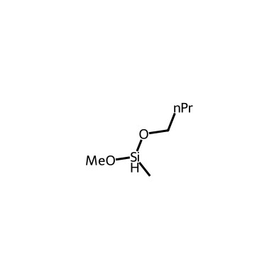 CCCCO[SiH](C)OC